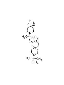 CC(C)(C)N1CCC2(CCOC(CC(C)(C)N3CCC4(CCCO4)CC3)C2)CC1